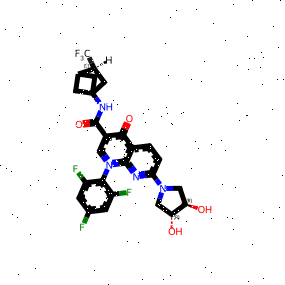 O=C(NC12CC(C1)[C@@H](C(F)(F)F)C2)c1cn(-c2c(F)cc(F)cc2F)c2nc(N3C[C@@H](O)[C@H](O)C3)ccc2c1=O